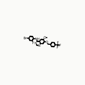 COc1cc2c(Nc3ccc(Br)cc3F)ncnc2cc1OCc1ccc(C(F)(F)F)cc1